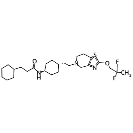 CC(F)(F)COc1nc2c(s1)CCN(CC[C@H]1CC[C@H](NC(=O)CCC3CCCCC3)CC1)C2